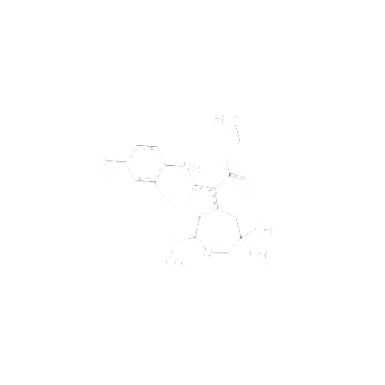 CCOC(=O)c1c(Nc2ccc(I)cc2Cl)sc2c1CC(C)(C)CN=C2SC